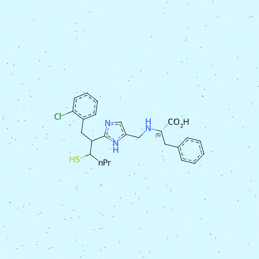 CCCC(S)C(Cc1ccccc1Cl)c1ncc(CN[C@@H](Cc2ccccc2)C(=O)O)[nH]1